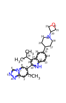 Cc1cc2nncn2cc1-c1[nH]c2ccc(C3CCN(C4COC4)CC3)cc2c1C(C)C